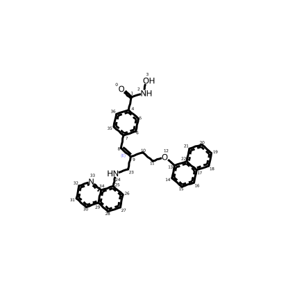 O=C(NO)c1ccc(/C=C(\CCOc2cccc3ccccc23)CNc2cccc3cccnc23)cc1